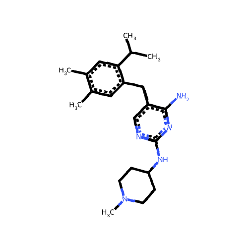 Cc1cc(Cc2cnc(NC3CCN(C)CC3)nc2N)c(C(C)C)cc1C